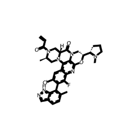 C=CC(=O)N1C[C@@H]2C(=O)N3C[C@H]([C@@H]4CCCN4C)Oc4nc5c(F)c(-c6c(C)ccc7cn[nH]c67)c(Cl)cc5c(c43)N2C[C@H]1C